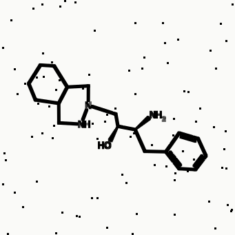 N[C@@H](Cc1ccccc1)[C@@H](O)CN1CC2CCCCC2CN1